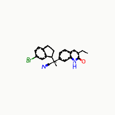 CCc1cc2ccc([C@](C)(C#N)C3CCc4ccc(Br)cc43)cc2[nH]c1=O